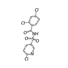 O=C(NS(=O)(=O)c1ccc(Cl)nc1)c1ccc(Cl)cc1Cl